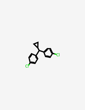 Clc1ccc(C(c2ccc(Cl)cc2)C2CC2)cc1